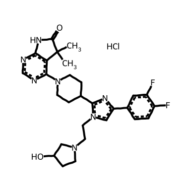 CC1(C)C(=O)Nc2ncnc(N3CCC(c4nc(-c5ccc(F)c(F)c5)cn4CCN4CCC(O)C4)CC3)c21.Cl